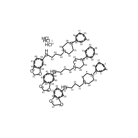 Cl.Cl.Cl.c1ccc(N2CCN(CCCNc3ccc4c(c3)OCO4)CC2)cc1.c1ccc(N2CCN(CCCNc3ccc4c(c3)OCO4)CC2)cc1.c1ccc(N2CCN(CCCNc3ccc4c(c3)OCO4)CC2)cc1